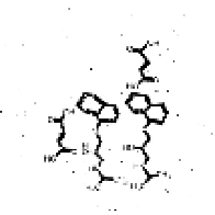 CC(C)NC[C@@H](O)COc1cccc2ccccc12.CC(C)NC[C@H](O)COc1cccc2ccccc12.O=C(O)/C=C/C(=O)O.O=C(O)/C=C/C(=O)O